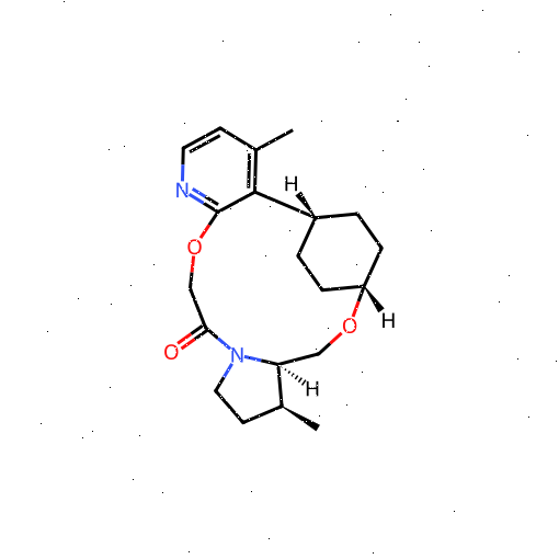 Cc1ccnc2c1[C@H]1CC[C@H](CC1)OC[C@H]1[C@@H](C)CCN1C(=O)CO2